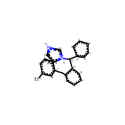 CCc1cccc(-c2ccccc2C(c2ccccc2)n2ccnc2)c1